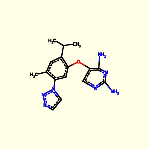 Cc1cc(C(C)C)c(Oc2cnc(N)nc2N)cc1-n1ccnn1